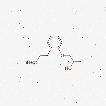 CCCCCCCCCc1ccccc1OCC(C)O